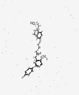 Cc1cnc(-c2ccc(F)cc2)nc1CNCCCOc1ccc2c(c1)CC[C@H]2CC(=O)O